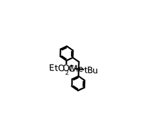 CCOC(=O)C(Cc1ccccc1OC)(c1ccccc1)C(C)(C)C